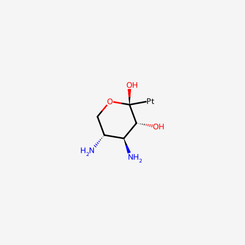 N[C@H]1[C@H](N)CO[C@](O)([Pt])[C@@H]1O